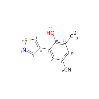 N#Cc1cc(-c2cnsc2)c(O)c(C(F)(F)F)c1